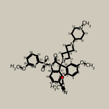 CCOc1ccc(OC)cc1[C@@]1(N2CC3(CN(C4CCN(C)CC4)C3)C2)C(=O)N(S(=O)(=O)c2cccc(OC)n2)c2ccc(C#N)cc21